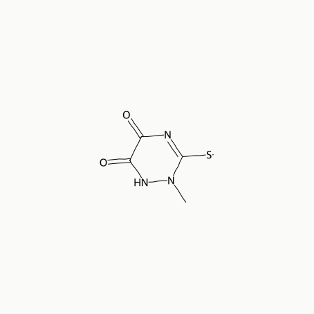 Cn1[nH]c(=O)c(=O)nc1[S]